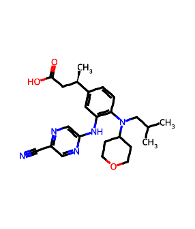 CC(C)CN(c1ccc([C@H](C)CC(=O)O)cc1Nc1cnc(C#N)cn1)C1CCOCC1